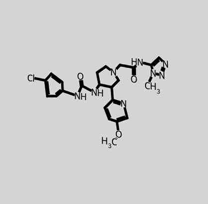 COc1ccc(C2CN(CC(=O)Nc3cnnn3C)CCC2NC(=O)Nc2ccc(Cl)cc2)nc1